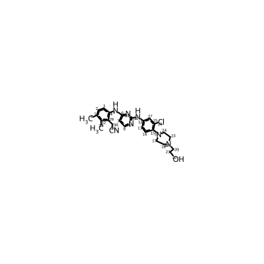 Cc1ccc(Nc2ccnc(Nc3ccc(N4CCN(CCO)CC4)c(Cl)c3)n2)c(CC#N)c1C